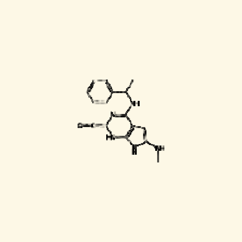 CNc1cc2c([nH]1)NC(=C=O)N=C2NC(C)c1ccccc1